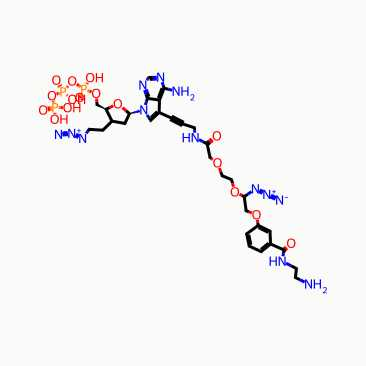 [N-]=[N+]=NCCC1C[C@H](n2cc(C#CCNC(=O)COCCOC(COc3cccc(C(=O)NCCN)c3)N=[N+]=[N-])c3c(N)ncnc32)O[C@@H]1COP(=O)(O)OP(=O)(O)OP(=O)(O)O